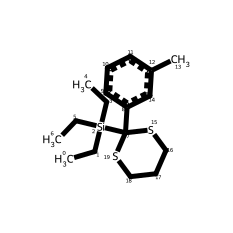 CC[Si](CC)(CC)C1(c2cccc(C)c2)SCCCS1